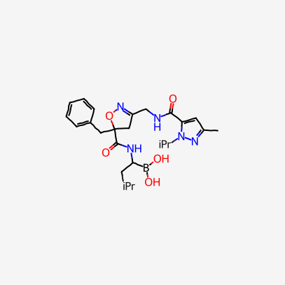 Cc1cc(C(=O)NCC2=NOC(Cc3ccccc3)(C(=O)NC(CC(C)C)B(O)O)C2)n(C(C)C)n1